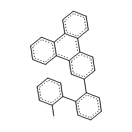 Brc1ccccc1-c1ccccc1-c1ccc2c3ccccc3c3ccccc3c2c1